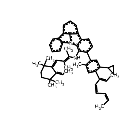 C\C=C/C=C\C(=C\C)c1cc(C)c(-c2ccc3c4cccc5c6ccccc6n(c3c2N/C(C)=C(C)/C=C2\C(=C/C)C(C)(C)CCC2(C)C)c54)cc1C1CC1